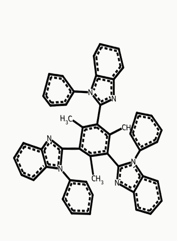 Cc1c(-c2nc3ccccc3n2-c2ccccc2)c(C)c(-c2nc3ccccc3n2-c2ccccc2)c(C)c1-c1nc2ccccc2n1-c1ccccc1